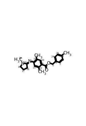 Cc1ccc(COC(=O)c2cc(C)c(/N=C3\CCCN3C)cc2C)cc1